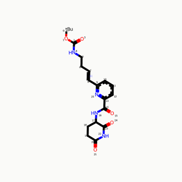 CC(C)(C)OC(=O)NCC/C=C/c1cccc(C(=O)NC2CCC(=O)NC2=O)n1